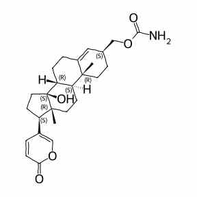 C[C@]12CC[C@H](COC(N)=O)C=C1CC[C@@H]1[C@@H]2CC[C@]2(C)[C@@H](c3ccc(=O)oc3)CC[C@]12O